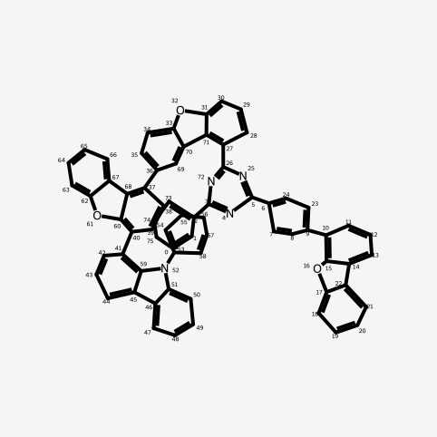 C1=CC(c2nc(-c3ccc(-c4cccc5c4oc4ccccc45)cc3)nc(-c3cccc4oc5ccc(-c6ccc(-c7cccc8c9ccccc9n(C9=CCCC=C9)c78)c7oc8ccccc8c67)cc5c34)n2)=CCC1